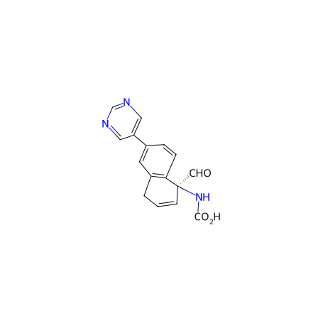 O=C[C@]1(NC(=O)O)C=CCc2cc(-c3cncnc3)ccc21